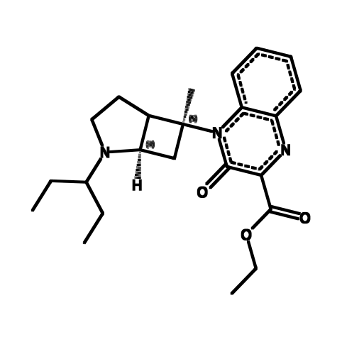 CCOC(=O)c1nc2ccccc2n([C@@]2(C)C[C@@H]3C2CCN3C(CC)CC)c1=O